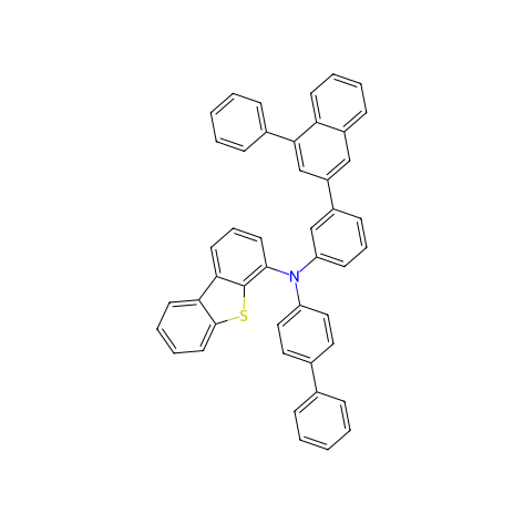 c1ccc(-c2ccc(N(c3cccc(-c4cc(-c5ccccc5)c5ccccc5c4)c3)c3cccc4c3sc3ccccc34)cc2)cc1